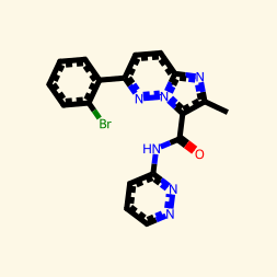 Cc1nc2ccc(-c3ccccc3Br)nn2c1C(=O)Nc1cccnn1